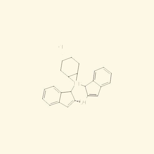 CC1=Cc2ccccc2[CH]1[Hf+2]1([CH]2C(C)=Cc3ccccc32)[CH]2CCCC[CH]21.[Cl-].[Cl-]